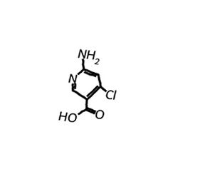 Nc1cc(Cl)c(C(=O)O)cn1